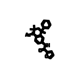 CC(=O)N1c2ccc(NC(=O)c3ccco3)cc2C(C)(c2ccccc2)CC1(C)C